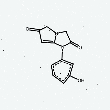 O=C1C=C2N(C1)CC(=O)N2c1cccc(O)c1